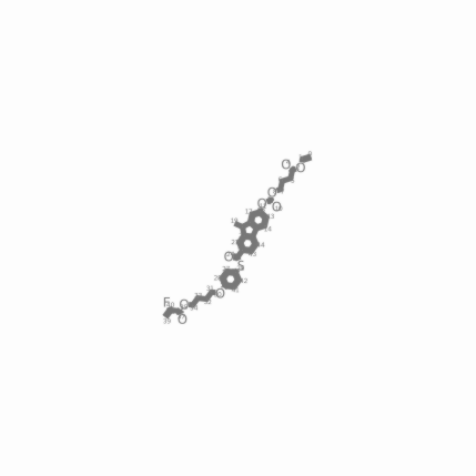 C=COC(=O)CCCOC(=O)Oc1ccc2c(c1)C(C)c1cc(C(=O)Sc3ccc(OCCCCOC(=O)C(=C)F)cc3)ccc1-2